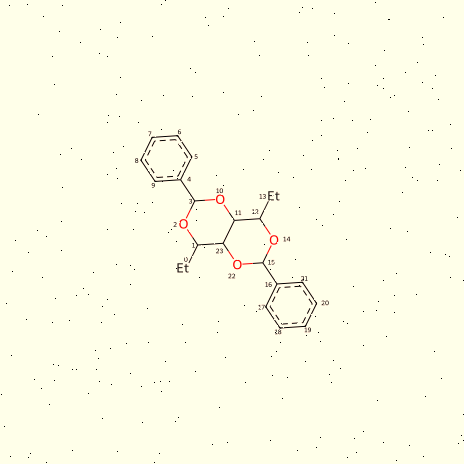 CCC1OC(c2ccccc2)OC2C(CC)OC(c3ccccc3)OC12